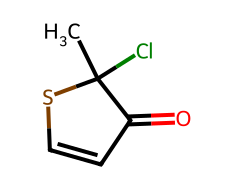 CC1(Cl)SC=CC1=O